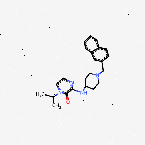 CC(C)n1ccnc(NC2CCN(Cc3ccc4ccccc4c3)CC2)c1=O